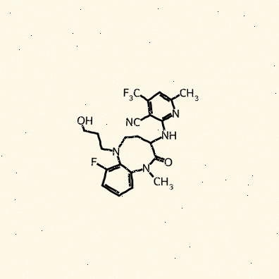 Cc1cc(C(F)(F)F)c(C#N)c(NC2CCN(CCCO)c3c(F)cccc3N(C)C2=O)n1